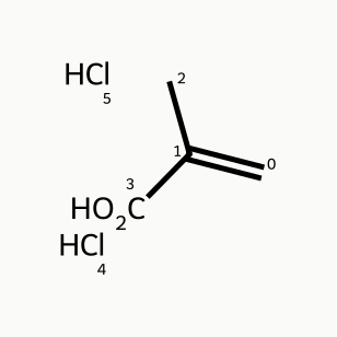 C=C(C)C(=O)O.Cl.Cl